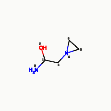 NC(O)CN1CC1